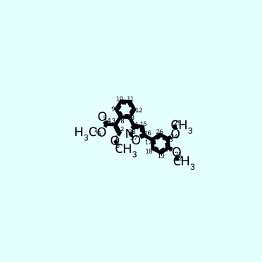 COC=C(C(=O)OC)c1ccccc1-c1cc(-c2ccc(OC)c(OC)c2)on1